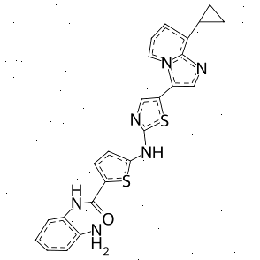 Nc1ccccc1NC(=O)c1ccc(Nc2ncc(-c3cnc4c(C5CC5)cccn34)s2)s1